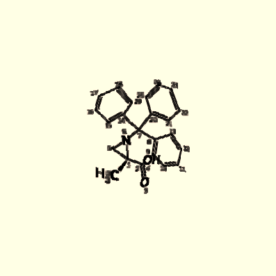 C[C@@]1(C(=O)O)CN1C(c1ccccc1)(c1ccccc1)c1ccccc1